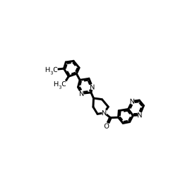 Cc1cccc(-c2cnc(C3CCN(C(=O)c4ccc5nccnc5c4)CC3)nc2)c1C